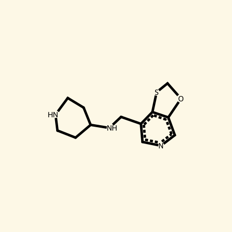 c1ncc2c(c1CNC1CCNCC1)SCO2